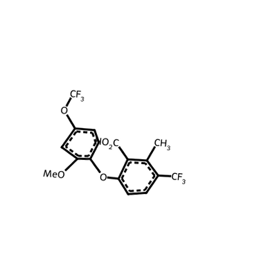 COc1cc(OC(F)(F)F)ccc1Oc1ccc(C(F)(F)F)c(C)c1C(=O)O